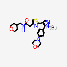 CC(C)(C)n1ncc(-c2nc(CC(=O)NCC3CCOCC3)cs2)c1-c1ccc(N2CCOCC2)cc1